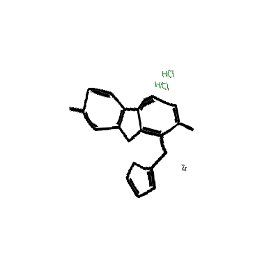 Cc1ccc2c(c1)Cc1c-2ccc(C)c1CC1=CC=CC1.Cl.Cl.[Zr]